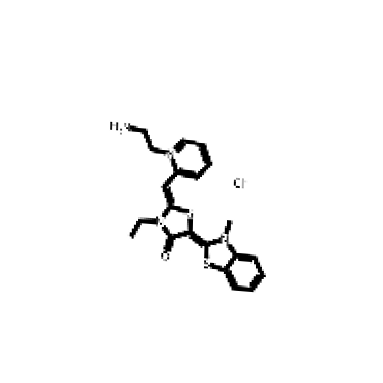 CCn1c(=O)/c(=C2\Sc3ccccc3N2C)s/c1=C\c1cccc[n+]1CCN.[Cl-]